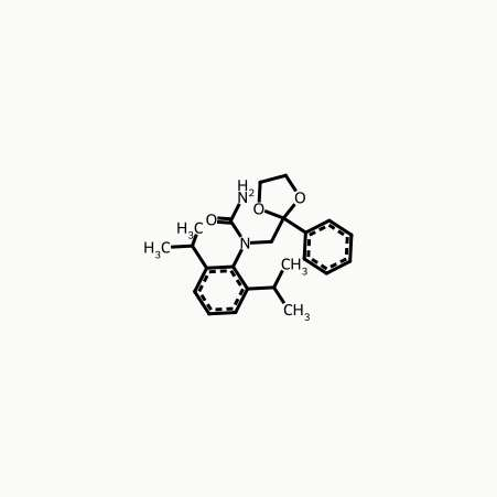 CC(C)c1cccc(C(C)C)c1N(CC1(c2ccccc2)OCCO1)C(N)=O